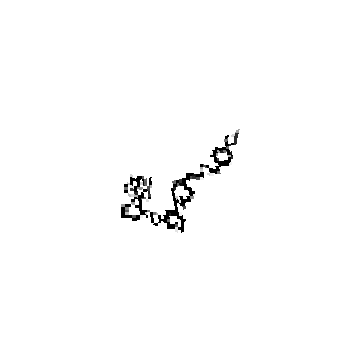 CC(C)(C)OC(=O)N1CCC[C@H]1COc1cncc(N2CCC(CCOCc3ccc(Cl)cc3)CC2)c1